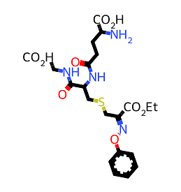 CCOC(=O)C(CSCC(NC(=O)CCC(N)C(=O)O)C(=O)NCC(=O)O)=NOc1ccccc1